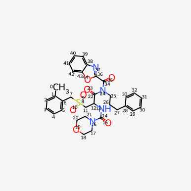 Cc1ccccc1CS(=O)(=O)CC(NC(=O)N1CCOCC1)C(=O)N(CCCc1ccccc1)C(=O)c1nc2ccccc2o1